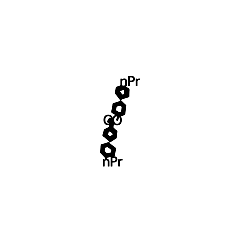 CCCc1ccc([C@H]2CC[C@H](OC(=O)c3ccc([C@H]4CC[C@H](CCC)CC4)cc3)CC2)cc1